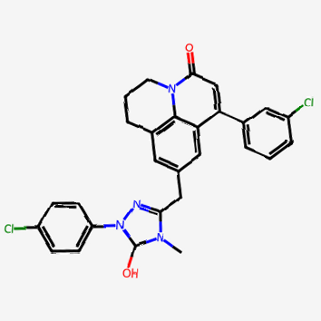 CN1C(Cc2cc3c4c(c2)c(-c2cccc(Cl)c2)cc(=O)n4CCC3)=NN(c2ccc(Cl)cc2)C1O